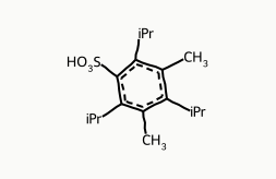 Cc1c(C(C)C)c(C)c(C(C)C)c(S(=O)(=O)O)c1C(C)C